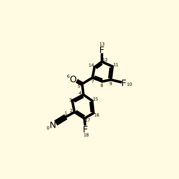 N#Cc1cc(C(=O)c2cc(F)cc(F)c2)ccc1F